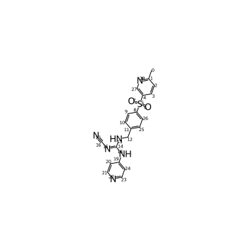 Cc1ccc(S(=O)(=O)c2ccc(CN/C(=N\C#N)Nc3ccncc3)cc2)cn1